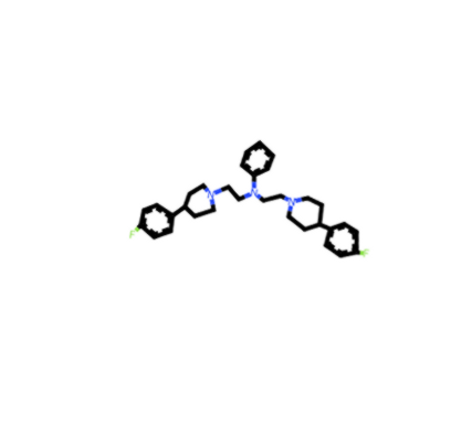 Fc1ccc(C2CCN(CCN(CCN3CCC(c4ccc(F)cc4)CC3)c3ccccc3)CC2)cc1